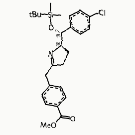 COC(=O)c1ccc(CC2=N[C@@H]([C@H](O[Si](C)(C)C(C)(C)C)c3ccc(Cl)cc3)CC2)cc1